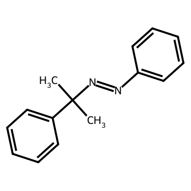 CC(C)(/N=N/c1ccccc1)c1ccccc1